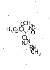 COc1cc(OC)cc(C(CCN2CCCC2=O)c2ccc3ncc(-c4cnn(C)c4)nc3c2)c1